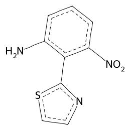 Nc1cccc([N+](=O)[O-])c1-c1nccs1